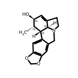 C[C@H]1[C@H]2c3cc4c(cc3CN3CCC(=C[C@@H]1O)[C@H]23)OCO4